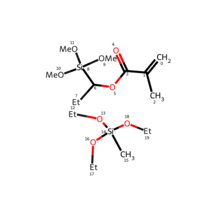 C=C(C)C(=O)OC(CC)[Si](OC)(OC)OC.CCO[Si](C)(OCC)OCC